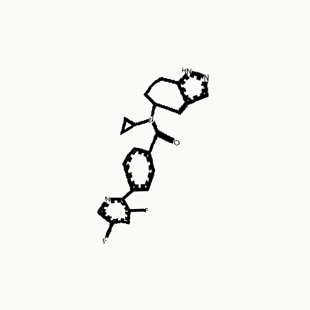 O=C(c1ccc(-c2ncc(F)cc2F)cc1)N(C1CC1)C1CCc2[nH]ncc2C1